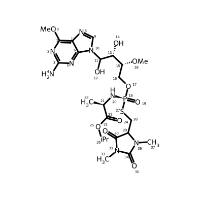 COc1nc(N)nc2c1ncn2C(O)[C@H](O)[C@@H](CO[P@@](=O)(N[C@H](C)C(=O)OC(C)C)SCC1C(=O)N(C)C(=O)N1C)OC